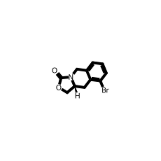 O=C1OC[C@H]2Cc3c(Br)cccc3CN12